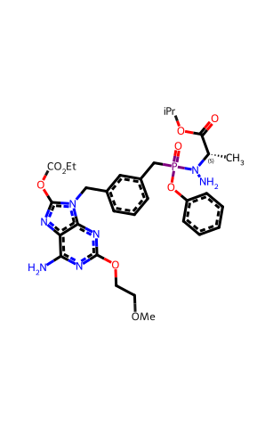 CCOC(=O)Oc1nc2c(N)nc(OCCOC)nc2n1Cc1cccc(CP(=O)(Oc2ccccc2)N(N)[C@@H](C)C(=O)OC(C)C)c1